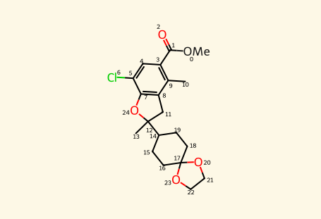 COC(=O)c1cc(Cl)c2c(c1C)CC(C)(C1CCC3(CC1)OCCO3)O2